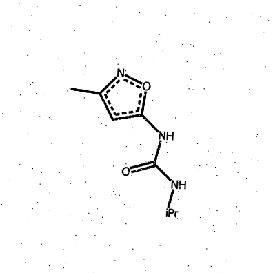 Cc1cc(NC(=O)NC(C)C)on1